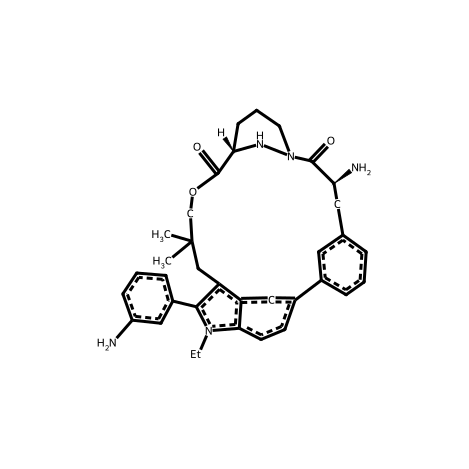 CCn1c(-c2cccc(N)c2)c2c3cc(ccc31)-c1cccc(c1)C[C@H](N)C(=O)N1CCC[C@H](N1)C(=O)OCC(C)(C)C2